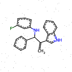 C=C(c1c[nH]c2ccccc12)C(Nc1cccc(F)c1)c1ccccc1